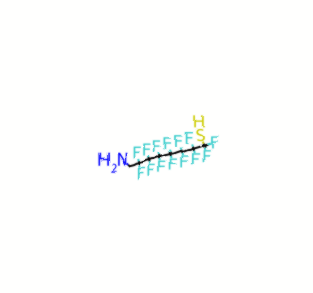 NCC(F)(F)C(F)(F)C(F)(F)C(F)(F)C(F)(F)C(F)(F)C(F)(F)S